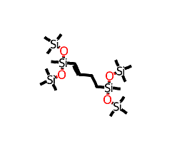 C[Si](C)(C)O[Si](C)(/C=C/CC[Si](C)(O[Si](C)(C)C)O[Si](C)(C)C)O[Si](C)(C)C